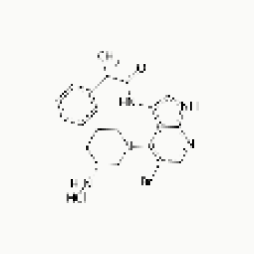 CC(C(=O)Nc1c[nH]c2ncc(Br)c(N3CCC[C@@H](N)C3)c12)c1ccccc1.Cl